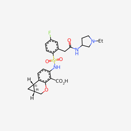 CCN1CCC(NC(=O)Cc2cc(F)ccc2S(=O)(=O)Nc2ccc3c(c2C(=O)O)OC[C@@H]2C[C@H]32)C1